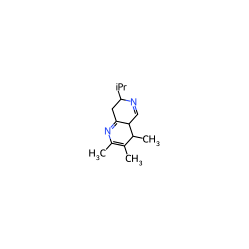 CC1=C(C)C(C)C2C=NC(C(C)C)CC2=N1